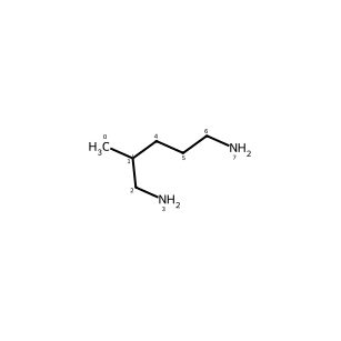 C[C](CN)CCCN